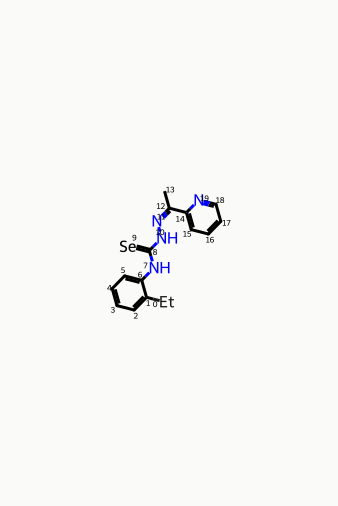 CCc1ccccc1NC(=[Se])NN=C(C)c1ccccn1